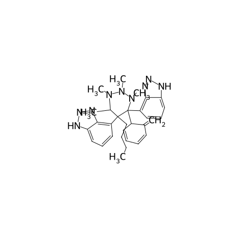 C=C1C=CC=CC1C1(c2cccc3[nH]nnc23)N(C)N(C)N(C)C(C)C1(CCCC)c1cccc2[nH]nnc12